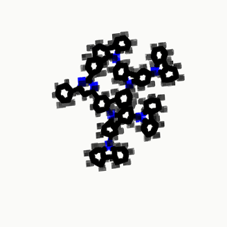 c1ccc(-c2cc(-c3ccc(-n4c5ccc(-n6c7ccccc7c7ccccc76)cc5c5cc(-n6c7ccccc7c7ccccc76)ccc54)c(-c4cccc(-n5c6ccc(-n7c8ccccc8c8ccccc87)cc6c6cc(-n7c8ccccc8c8ccccc87)ccc65)c4)c3)nc(-c3ccccc3)n2)cc1